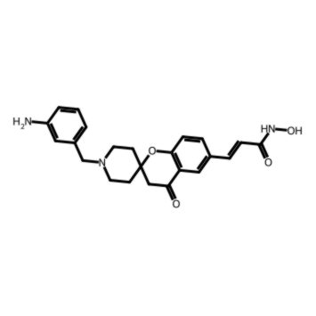 Nc1cccc(CN2CCC3(CC2)CC(=O)c2cc(/C=C/C(=O)NO)ccc2O3)c1